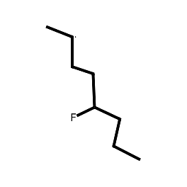 C[CH]CCC(F)CCC